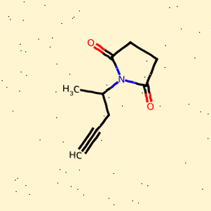 C#CCC(C)N1C(=O)CCC1=O